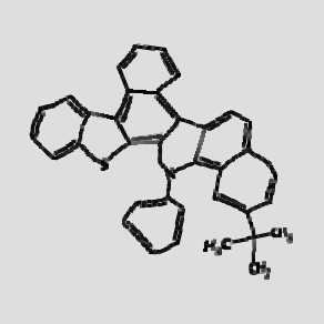 CC(C)(C)c1ccc2ccc3c4c5ccccc5c5c6ccccc6sc5c4n(-c4ccccc4)c3c2c1